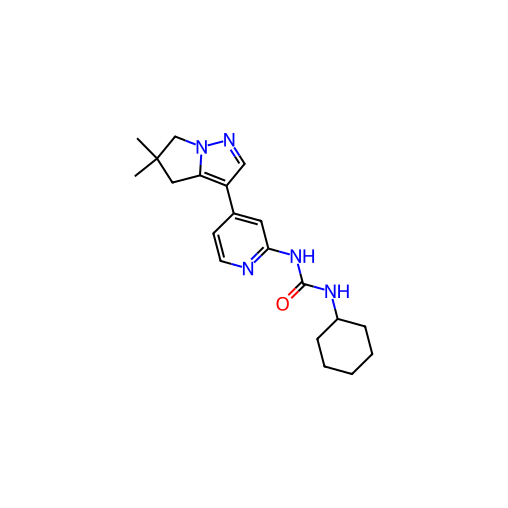 CC1(C)Cc2c(-c3ccnc(NC(=O)NC4CCCCC4)c3)cnn2C1